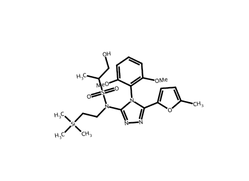 COc1cccc(OC)c1-n1c(-c2ccc(C)o2)nnc1N(CC[Si](C)(C)C)S(=O)(=O)C(C)CO